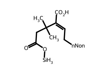 CCCCCCCCCCC=C(C(=O)O)C(C)(C)CC(=O)O[SiH3]